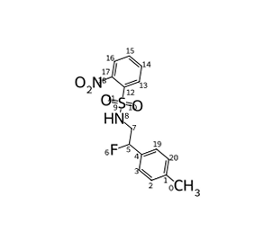 Cc1ccc(C(F)CNS(=O)(=O)c2ccccc2[N+](=O)[O-])cc1